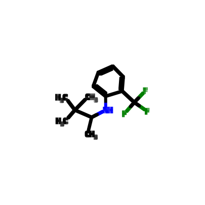 CC(Nc1ccccc1C(F)(F)F)C(C)(C)C